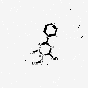 CCCC(OC(=O)c1ccncc1)[SiH](OCC)OCC